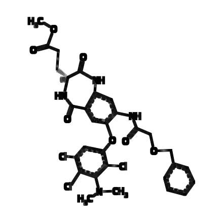 COC(=O)CC[C@H]1NC(=O)c2cc(Oc3cc(Cl)c(Cl)c(N(C)C)c3Cl)c(NC(=O)COCc3ccccc3)cc2NC1=O